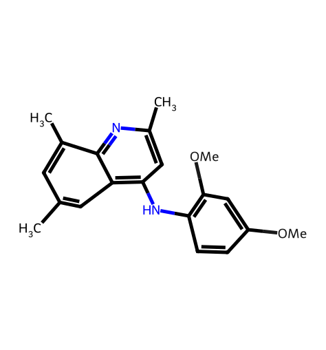 COc1ccc(Nc2cc(C)nc3c(C)cc(C)cc23)c(OC)c1